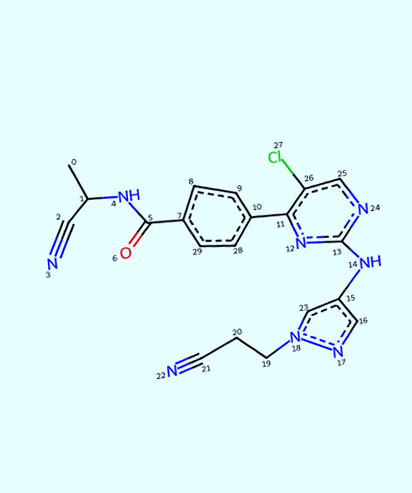 CC(C#N)NC(=O)c1ccc(-c2nc(Nc3cnn(CCC#N)c3)ncc2Cl)cc1